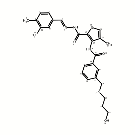 Cc1ccc(C=NNC(=O)c2scc(C)c2NC(=O)c2cccc(CSCCCO)c2)cc1C